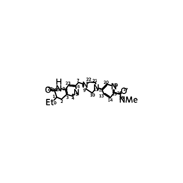 CCC1Cc2cnc(CN3CCN(c4ccc(C(=O)NC)nc4)CC3)cc2NC1=O